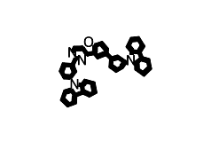 c1cc(-c2ccc3oc4cnc(-c5cccc(-n6c7ccccc7c7ccccc76)c5)nc4c3c2)cc(-n2c3ccccc3c3ccccc32)c1